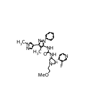 COCCN1C[C@@H](NC(=O)Nc2c(C)c(-c3cnn(C)c3)nn2-c2ccccc2)[C@H](c2ccncc2F)C1